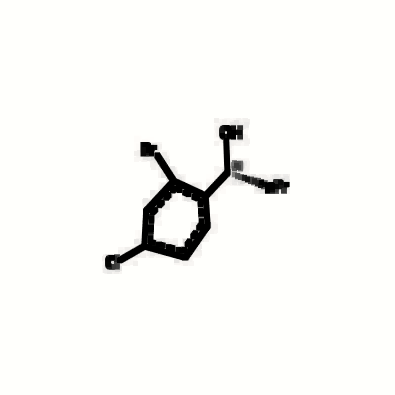 CCC[C@@H](O)c1ccc(Cl)cc1Br